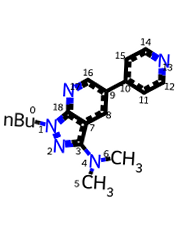 CCCCn1nc(N(C)C)c2cc(-c3ccncc3)cnc21